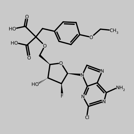 CCOc1ccc(CC(OC[C@H]2O[C@@H](n3cnc4c(N)nc(Cl)nc43)[C@@H](F)[C@@H]2O)(C(=O)O)C(=O)O)cc1